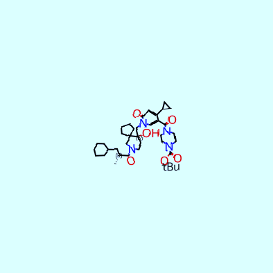 C[C@H](CC1CCCCC1)C(=O)N1CC[C@@](O)(Cn2cc(C(=O)N3CCN(C(=O)OC(C)(C)C)CC3)c(C3CC3)cc2=O)C2(CCCC2)C1